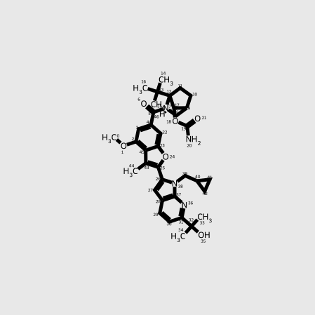 COc1cc(C(=O)N2CC3CCC2(C(C)(C)C)[C@@H]3OC(N)=O)cc2oc(-c3cc4ccc(C(C)(C)O)nc4n3CC3CC3)c(C)c12